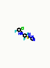 Fc1ccc(Cl)c(CNc2cc(F)c(SNc3ccncn3)c(F)c2)c1